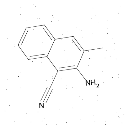 Cc1cc2ccccc2c(C#N)c1N